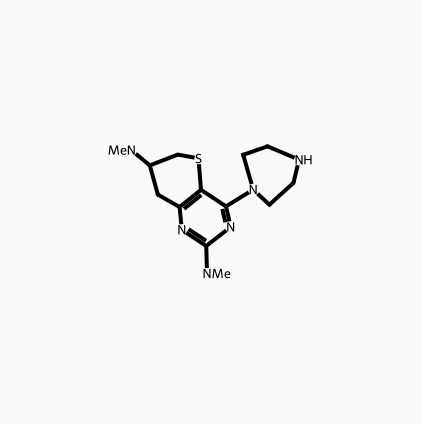 CNc1nc2c(c(N3CCNCC3)n1)SCC(NC)C2